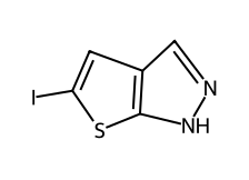 Ic1cc2cn[nH]c2s1